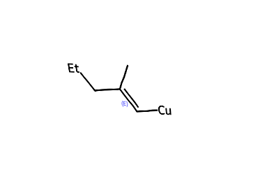 CCC/C(C)=[CH]/[Cu]